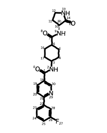 O=C(NC1CCC(C(=O)N[C@@H]2CCNC2=O)CC1)c1ccc(-c2cccc(F)c2)nc1